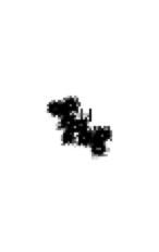 Cc1cc(-c2cc(C)cc(-n3c4ccccc4c4ccccc43)c2O)c(OCCN(C)C)c(-c2cc(C)cc(-n3c4ccccc4c4ccccc43)c2O)c1